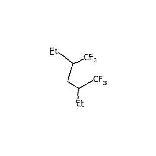 CCC(CC(CC)C(F)(F)F)C(F)(F)F